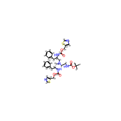 CC(C)(C)OC(=O)NCCN(C[C@@H](Cc1ccccc1)NC(=O)OCc1cncs1)C[C@@H](Cc1ccccc1)NC(=O)OCc1cncs1